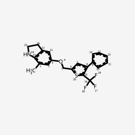 Cc1cc(OCc2cc(-c3ccccc3)c(C(F)(F)F)s2)cc2c1NCC2